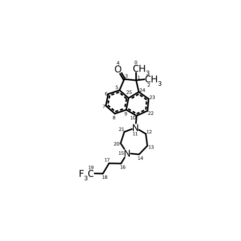 CC1(C)C(=O)c2cccc3c(N4CCCN(CCCC(F)(F)F)CC4)ccc1c23